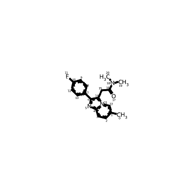 Cc1ccc2nc(-c3ccc(F)cc3)c(CC(=O)N(C)C)n2c1